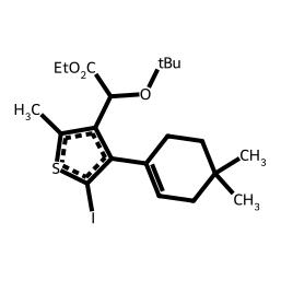 CCOC(=O)C(OC(C)(C)C)c1c(C)sc(I)c1C1=CCC(C)(C)CC1